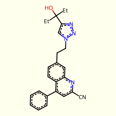 CCC(O)(CC)c1cn(CCc2ccc3c(-c4ccccc4)cc(C#N)nc3c2)nn1